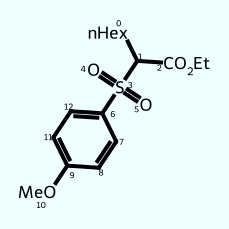 CCCCCCC(C(=O)OCC)S(=O)(=O)c1ccc(OC)cc1